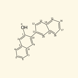 Oc1cc2ccccc2cc1-c1ccc2ccccc2c1